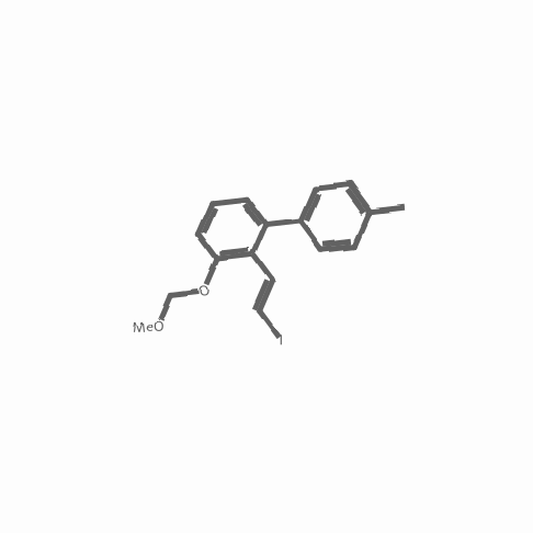 COCOc1cccc(-c2ccc(C)cc2)c1C=CI